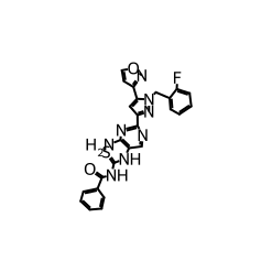 Nc1nc(-c2cc(-c3ccon3)n(Cc3ccccc3F)n2)ncc1NC(=S)NC(=O)c1ccccc1